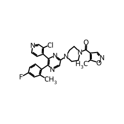 Cc1cc(F)ccc1-c1ncc(N2CCN(C(=O)c3cnoc3C)CC2)nc1-c1ccncc1Cl